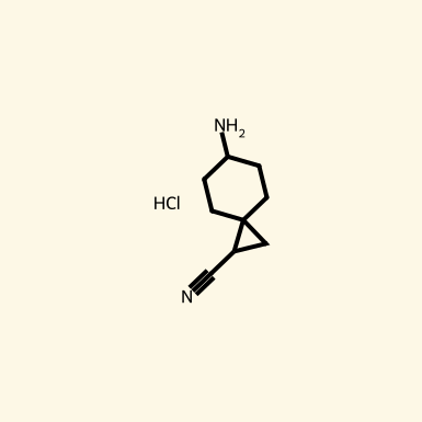 Cl.N#CC1CC12CCC(N)CC2